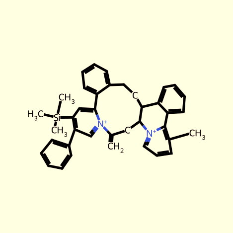 C=C1CC2C(CCc3ccccc3-c3cc([Si](C)(C)C)c(-c4ccccc4)c[n+]31)c1ccccc1-c1c(C)ccc[n+]12